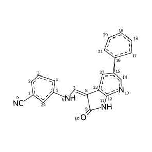 N#Cc1cccc(NC=C2C(=O)Nc3ncc(-c4ccccc4)cc32)c1